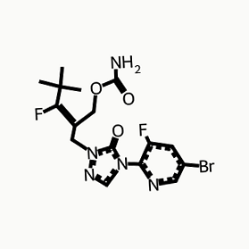 CC(C)(C)/C(F)=C(\COC(N)=O)Cn1ncn(-c2ncc(Br)cc2F)c1=O